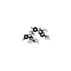 CNC1=CCC2=CN(c3ccc(F)c(NC(=O)Nc4cn(C(C)(C)C)nc4-c4cccc(F)c4)c3)C(=O)C(C)C2=N1